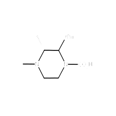 C[C@@H]1C(C(C)(C)C)N(C(=O)O)CCN1C